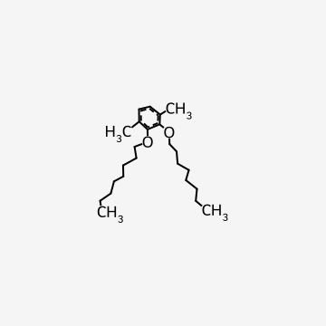 CCCCCCCCOc1c(C)ccc(C)c1OCCCCCCCC